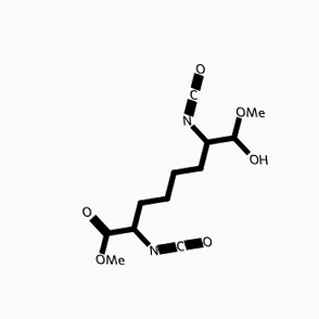 COC(=O)C(CCCCC(N=C=O)C(O)OC)N=C=O